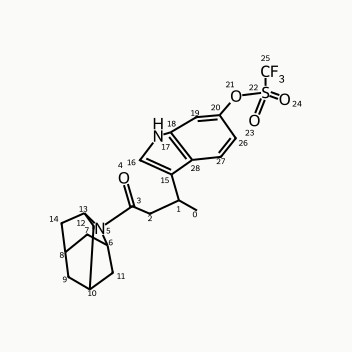 CC(CC(=O)N1C2CC3CC(C2)CC1C3)c1c[nH]c2cc(OS(=O)(=O)C(F)(F)F)ccc12